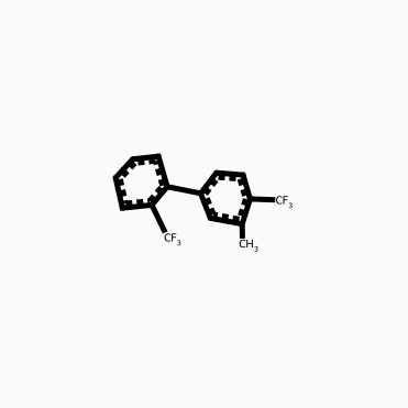 Cc1cc(-c2ccccc2C(F)(F)F)ccc1C(F)(F)F